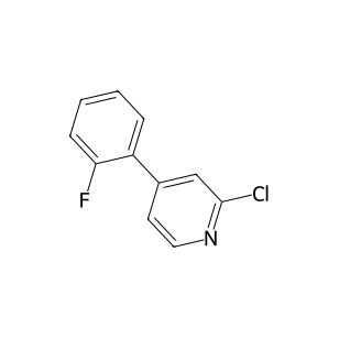 Fc1ccccc1-c1ccnc(Cl)c1